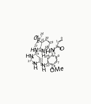 C=CC(=O)Nc1ccc(OC)c(NC2CC(NC3NCCCC3P(C)(C)=O)NCN2)c1